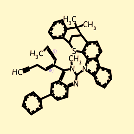 C#CC/C=C(\C=C/C)C1=c2cc(-c3ccccc3)ccc2=NC(n2c3ccccc3c3ccc4c(c32)SC2CC4C(C)(C)c3ccccc32)N1C